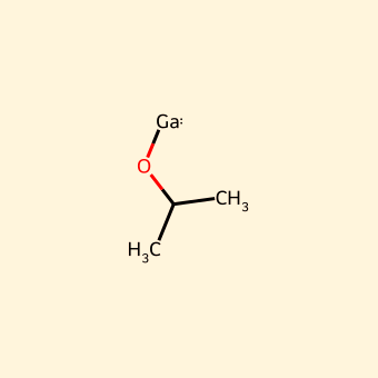 CC(C)[O][Ga]